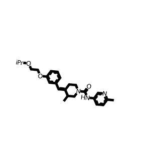 Cc1ccc(NC(=O)N2CC/C(=C\c3cccc(OCCOC(C)C)c3)C(C)C2)cn1